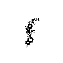 CNC(=O)Nc1ccc2c(c1)OCCC21NC(=O)N(CC(=O)N2CCCc3cc(F)ccc3C2)C1=O